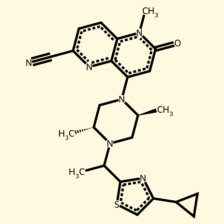 CC(c1nc(C2CC2)cs1)N1C[C@H](C)N(c2cc(=O)n(C)c3ccc(C#N)nc23)C[C@H]1C